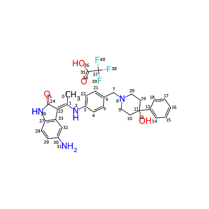 CC(Nc1ccc(CN2CCC(O)(c3ccccc3)CC2)cc1)=C1C(=O)Nc2ccc(N)cc21.O=C(O)C(F)(F)F